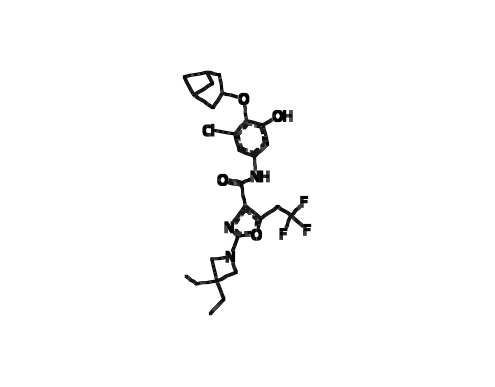 CCC1(CC)CN(c2nc(C(=O)Nc3cc(O)c(OC4CC5CC(C5)C4)c(Cl)c3)c(CC(F)(F)F)o2)C1